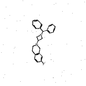 Fc1ccc2c(c1)CN(C1CN(C(c3ccccc3)c3ccccc3)C1)CC2